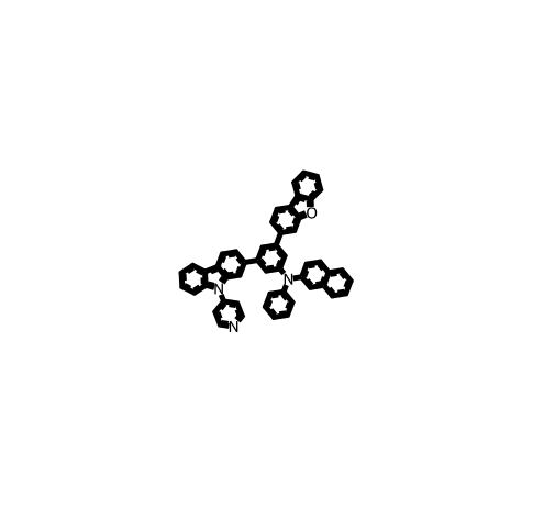 c1ccc(N(c2cc(-c3ccc4c(c3)oc3ccccc34)cc(-c3ccc4c5ccccc5n(-c5ccncc5)c4c3)c2)c2ccc3ccccc3c2)cc1